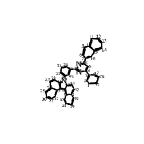 c1ccc(-c2cc(-c3ccc4ccccc4c3)nc(-c3cccc(-n4c5ccc6ccccc6c5c5c6ccccc6ccc54)c3)n2)cc1